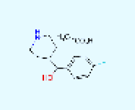 CC(=O)O.OC(c1ccc(F)cc1)C1CCNCC1